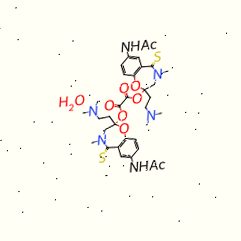 CC(=O)Nc1ccc2c(c1)C(=S)N(C)CC(CCN(C)C)(OC(=O)C(=O)OC1(CCN(C)C)CN(C)C(=S)c3cc(NC(C)=O)ccc3O1)O2.O